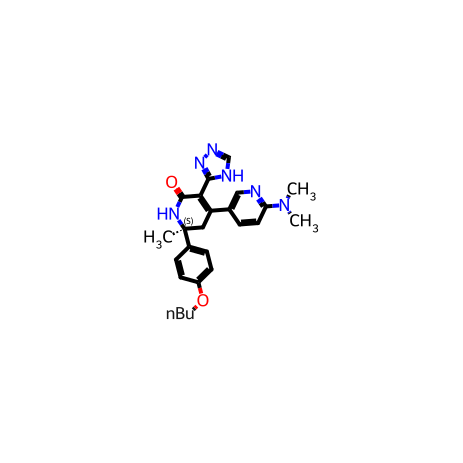 CCCCOc1ccc([C@]2(C)CC(c3ccc(N(C)C)nc3)=C(c3nnc[nH]3)C(=O)N2)cc1